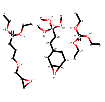 CCO[SiH](CCCOCC1CO1)OCC.CCO[SiH](OCC)OCC.CO[Si](CCC1CCC2OC2C1)(OC)OC